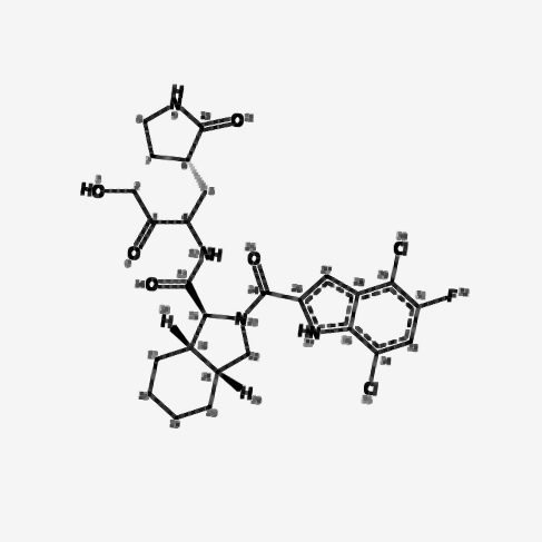 O=C(CO)C(C[C@@H]1CCNC1=O)NC(=O)[C@@H]1[C@H]2CCCC[C@H]2CN1C(=O)c1cc2c(Cl)c(F)cc(Cl)c2[nH]1